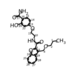 CCCOCc1c(C(=O)NCCOc2ccc(C(N)=O)c(O)c2)oc2ccccc12